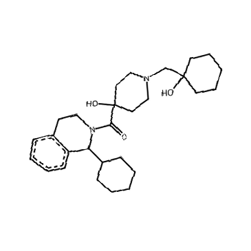 O=C(N1CCc2ccccc2C1C1CCCCC1)C1(O)CCN(CC2(O)CCCCC2)CC1